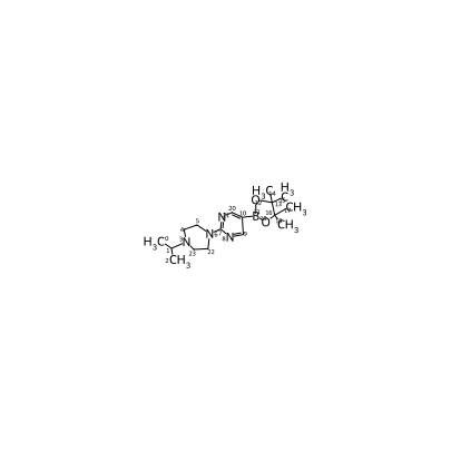 CC(C)N1CCN(c2ncc(B3OC(C)(C)C(C)(C)O3)cn2)CC1